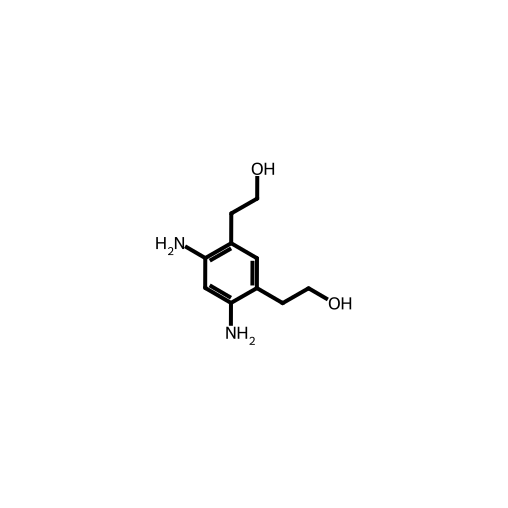 Nc1cc(N)c(CCO)cc1CCO